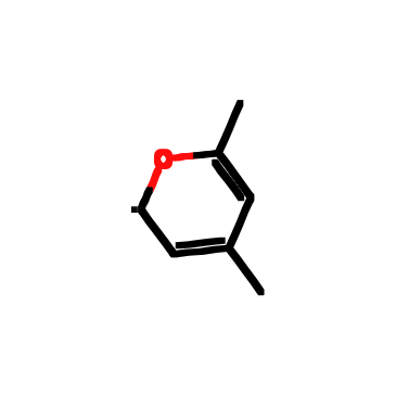 CC1=C[CH]OC(C)=C1